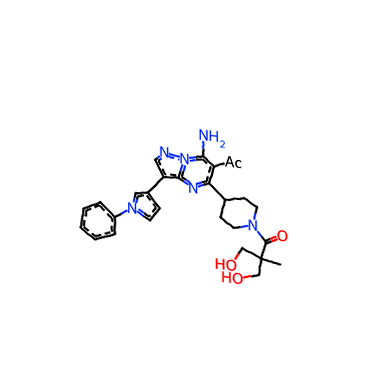 CC(=O)c1c(C2CCN(C(=O)C(C)(CO)CO)CC2)nc2c(-c3ccn(-c4ccccc4)c3)cnn2c1N